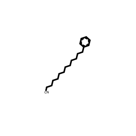 N#C[CH]CCCCCCCCCCCc1ccccc1